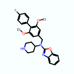 CCOc1cc(CN(c2nc3ccccc3o2)C2CCNCC2)cc(OCC)c1-c1ccc(F)cc1